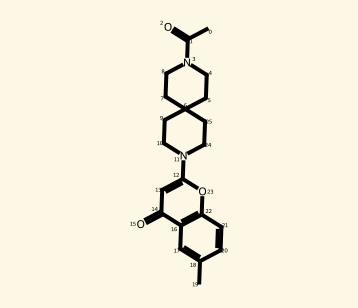 CC(=O)N1CCC2(CC1)CCN(c1cc(=O)c3cc(C)ccc3o1)CC2